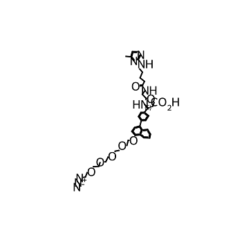 Cc1ccnc(NCCCCC(=O)NCC(=O)N[C@@H](CC(=O)O)c2ccc(-c3ccc(OCCOCCOCCOCCOCCN=[N+]=[N-])c4ccccc34)cc2)n1